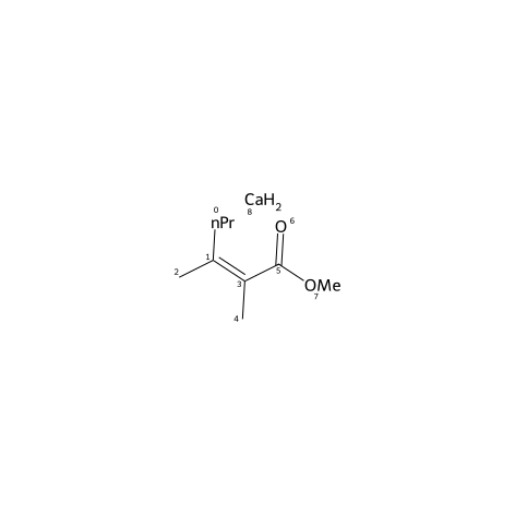 CCCC(C)=C(C)C(=O)OC.[CaH2]